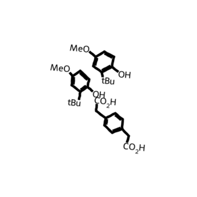 COc1ccc(O)c(C(C)(C)C)c1.COc1ccc(O)c(C(C)(C)C)c1.O=C(O)Cc1ccc(CC(=O)O)cc1